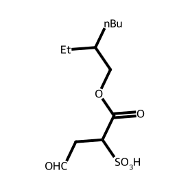 CCCCC(CC)COC(=O)C(CC=O)S(=O)(=O)O